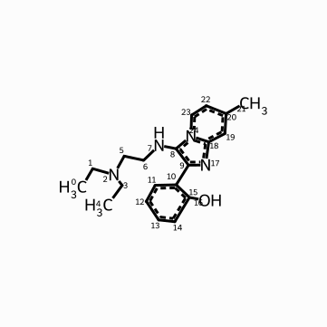 CCN(CC)CCNc1c(-c2ccccc2O)nc2cc(C)ccn12